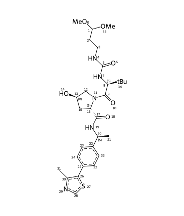 COC(CCNC(=O)N[C@H](C(=O)N1C[C@H](O)C[C@H]1C(=O)N[C@@H](C)c1ccc(-c2scnc2C)cc1)C(C)(C)C)OC